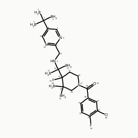 BC(B)(B)c1cnc(CNC(B)(B)C2(F)CCN(C(=O)c3ccc(F)c(Cl)c3)CC2(B)B)nc1